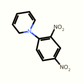 O=[N+]([O-])c1ccc(N2C=CC=CC2)c([N+](=O)[O-])c1